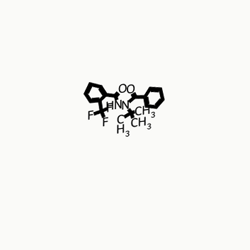 CC(C)(C)N(NC(=O)c1ccccc1C(F)(F)F)C(=O)c1ccccc1